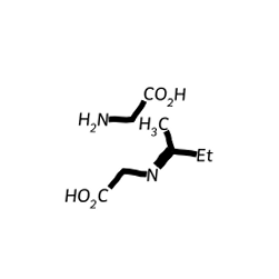 CCC(C)=NCC(=O)O.NCC(=O)O